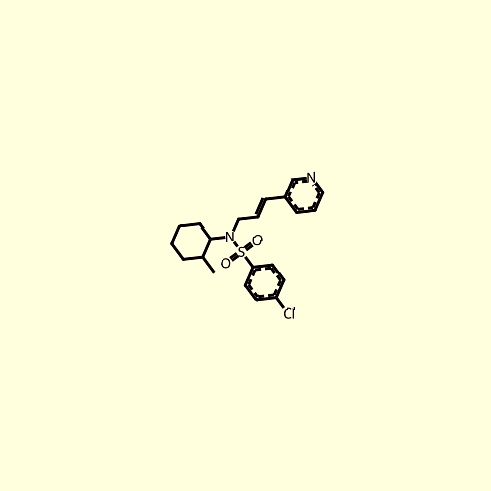 CC1CCCCC1N(CC=Cc1cccnc1)S(=O)(=O)c1ccc(Cl)cc1